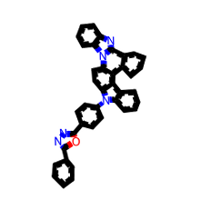 c1ccc(-c2nnc(-c3ccc(-n4c5ccccc5c5c6c7ccccc7c7nc8ccccc8n7c6ccc54)cc3)o2)cc1